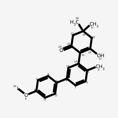 Cc1ccc(-c2ccc(OI)cc2)cc1C1=C(O)CC(C)(C)CC1=O